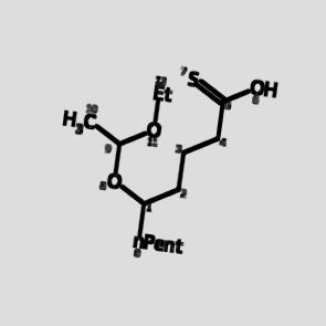 CCCCCC(CCCC(O)=S)OC(C)OCC